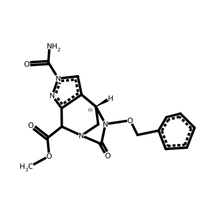 COC(=O)C1c2nn(C(N)=O)cc2[C@H]2CN1C(=O)N2OCc1ccccc1